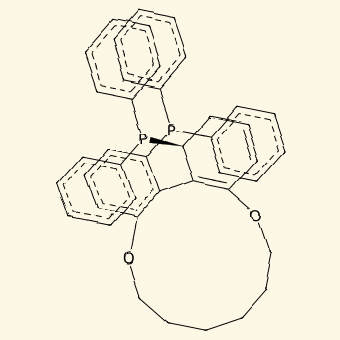 C1=CC2=C(c3c(cccc3P(c3ccccc3)c3ccccc3)OCCCCCCO2)[C@@H](P(c2ccccc2)c2ccccc2)C1